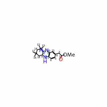 COC(=O)Cc1ccc(NC2CC(C)(C)CC(C)(C)C2)c(N)c1